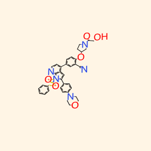 N#Cc1cc(-c2ccnc3c2cc(-c2ccc(N4CCOCC4)cc2)n3S(=O)(=O)c2ccccc2)ccc1OC1CCN(C(=O)CO)C1